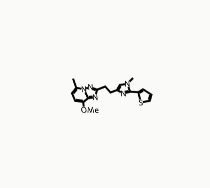 COc1ccc(C)n2nc(CCc3cn(C)c(-c4cccs4)n3)nc12